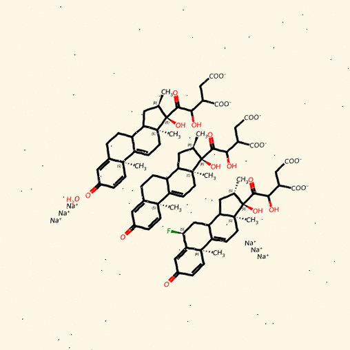 C[C@@H]1CC2C3CCC4=CC(=O)C=C[C@]4(C)C3=CC[C@]2(C)[C@@]1(O)C(=O)C(O)C(CC(=O)[O-])C(=O)[O-].C[C@@H]1CC2C3CCC4=CC(=O)C=C[C@]4(C)C3=CC[C@]2(C)[C@@]1(O)C(=O)C(O)C(CC(=O)[O-])C(=O)[O-].C[C@H]1CC2C3C[C@H](F)C4=CC(=O)C=C[C@]4(C)C3=CC[C@]2(C)[C@@]1(O)C(=O)C(O)C(CC(=O)[O-])C(=O)[O-].O.[Na+].[Na+].[Na+].[Na+].[Na+].[Na+]